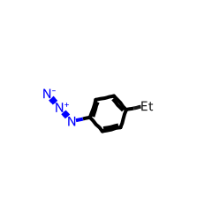 [CH2]Cc1ccc(N=[N+]=[N-])cc1